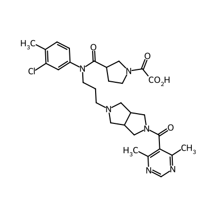 Cc1ccc(N(CCCN2CC3CN(C(=O)c4c(C)ncnc4C)CC3C2)C(=O)C2CCN(C(=O)C(=O)O)C2)cc1Cl